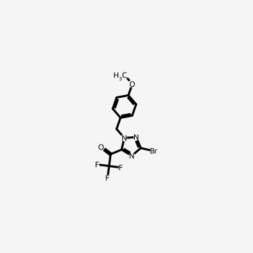 COc1ccc(Cn2nc(Br)nc2C(=O)C(F)(F)F)cc1